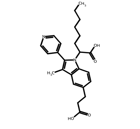 CCCCCCC(C(=O)O)n1c(-c2ccncc2)c(C)c2cc(CCC(=O)O)ccc21